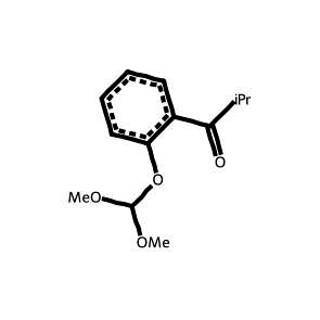 COC(OC)Oc1ccccc1C(=O)C(C)C